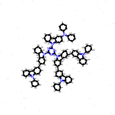 c1ccc(N(c2ccccc2)c2ccc3c(c2)c2ccccc2n3-c2nc(-n3c4ccccc4c4cc(-c5ccc6c(c5)c5ccccc5n6-c5ccccc5)ccc43)nc(-n3c4ccc(-c5ccc6c(c5)c5ccccc5n6-c5ccccc5)cc4c4cc(-c5ccc6c(c5)c5ccccc5n6-c5ccccc5)ccc43)n2)cc1